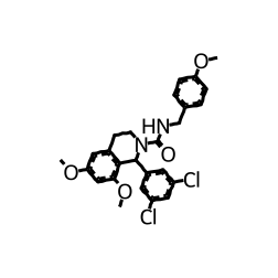 COc1ccc(CNC(=O)N2CCc3cc(OC)cc(OC)c3C2c2cc(Cl)cc(Cl)c2)cc1